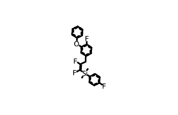 C[Si](C)(C(F)=C(F)Cc1ccc(F)c(Oc2ccccc2)c1)c1ccc(F)cc1